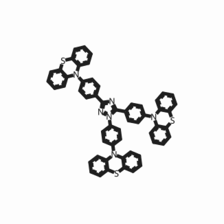 c1ccc2c(c1)Sc1ccccc1N2c1ccc(-c2nc(-c3ccc(N4c5ccccc5Sc5ccccc54)cc3)n(-c3ccc(N4c5ccccc5Sc5ccccc54)cc3)n2)cc1